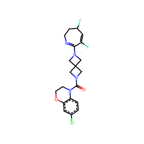 O=C(N1CC2(C1)CN(C1=NCCC(F)C=C1F)C2)N1CCOc2cc(Cl)ccc21